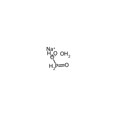 O.O.O=[PH2][O-].[Na+]